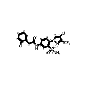 NS(=O)(=O)c1cc(NC(=O)Cc2ccccc2Cl)ccc1-n1cc(Cl)c(C(F)(F)F)n1